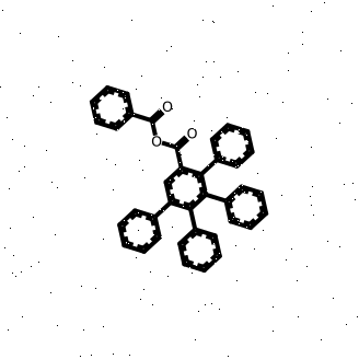 O=C(OC(=O)c1cc(-c2ccccc2)c(-c2ccccc2)c(-c2ccccc2)c1-c1ccccc1)c1ccccc1